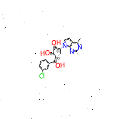 Cc1ncnc2c1ccn2[C@@H]1C[C@H]([C@@H](O)c2cccc(Cl)c2)[C@@H](O)[C@H]1O